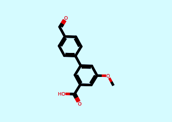 COc1cc(C(=O)O)cc(-c2ccc(C=O)cc2)c1